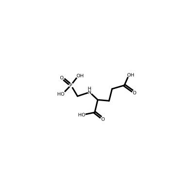 O=C(O)CCC(NCP(=O)(O)O)C(=O)O